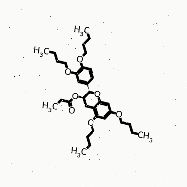 CCCCOc1cc(OCCCC)c2c(c1)O[C@@H](c1ccc(OCCCC)c(OCCCC)c1)[C@H](OC(=O)CC)C2